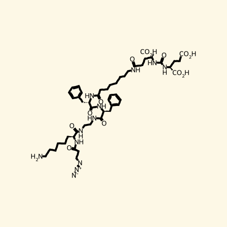 [N-]=[N+]=NCCC(=O)N[C@@H](CCCCCCN)C(=O)NCCNC(=O)[C@H](Cc1ccccc1)NC(=O)[C@H](Cc1ccccc1)NC(=O)CCCCCCCNC(=O)CC[C@H](NC(=O)N[C@@H](CCC(=O)O)C(=O)O)C(=O)O